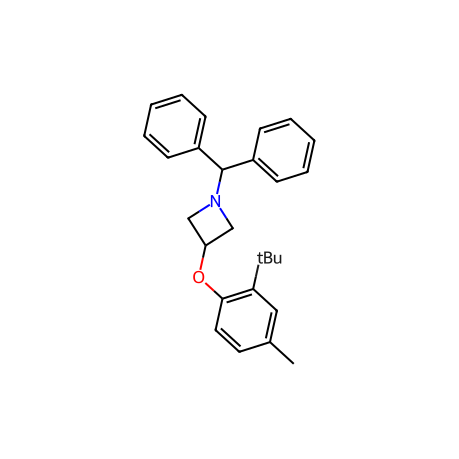 Cc1ccc(OC2CN(C(c3ccccc3)c3ccccc3)C2)c(C(C)(C)C)c1